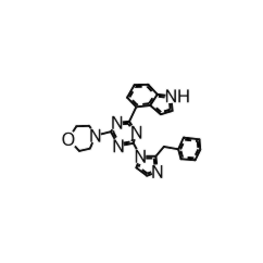 c1ccc(Cc2nccn2-c2nc(-c3cccc4[nH]ccc34)nc(N3CCOCC3)n2)cc1